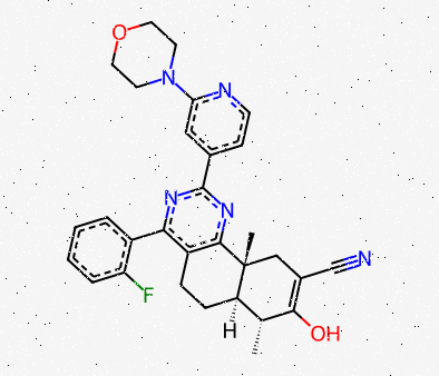 C[C@H]1C(O)=C(C#N)C[C@@]2(C)c3nc(-c4ccnc(N5CCOCC5)c4)nc(-c4ccccc4F)c3CC[C@H]12